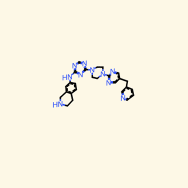 c1cncc(Cc2cnc(N3CCN(c4ncnc(Nc5ccc6c(c5)CNCC6)n4)CC3)nc2)c1